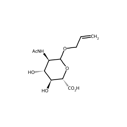 C=CCOC1O[C@H](C(=O)O)[C@@H](O)[C@H](O)[C@H]1NC(C)=O